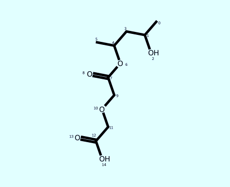 CC(O)CC(C)OC(=O)COCC(=O)O